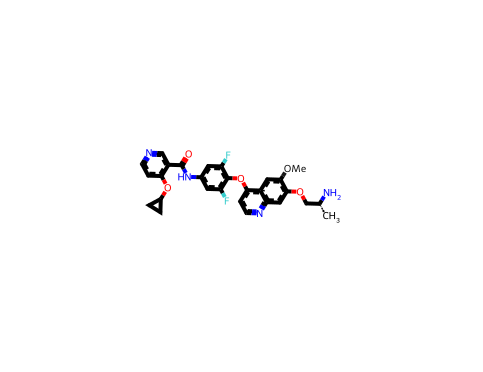 COc1cc2c(Oc3c(F)cc(NC(=O)c4cnccc4OC4CC4)cc3F)ccnc2cc1OC[C@@H](C)N